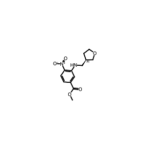 COC(=O)c1ccc([N+](=O)[O-])c(NC[C@H]2CCOC2)c1